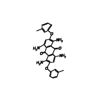 Cc1cccc(Oc2cc(N)c3c(c2N)C(=O)c2c(N)cc(Oc4cccc(C)c4)c(N)c2C3=O)c1